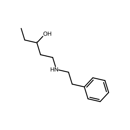 CC[C](O)CCNCCc1ccccc1